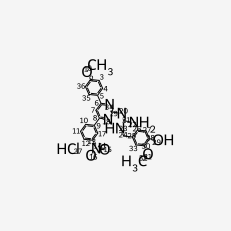 COc1ccc(-c2cc(-c3cccc([N+](=O)[O-])c3)nc(N=C(N)NCc3ccc(O)c(OC)c3)n2)cc1.Cl